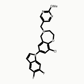 COc1ncc(CN2CCOc3c(Cl)cc(-n4ccc5cc(F)c(F)cc54)cc3C2)cn1